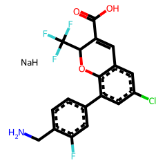 NCc1ccc(-c2cc(Cl)cc3c2OC(C(F)(F)F)C(C(=O)O)=C3)cc1F.[NaH]